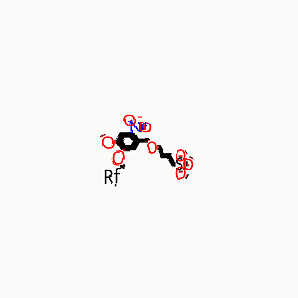 COc1cc([N+](=O)[O-])c(COCCCC[Si](OC)(OC)OC)cc1O[CH2][Rf]